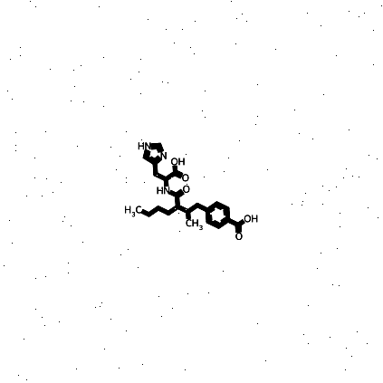 CCCCC(C(=O)NC(Cc1c[nH]cn1)C(=O)O)C(C)Cc1ccc(C(=O)O)cc1